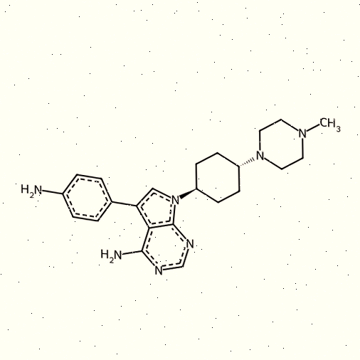 CN1CCN([C@H]2CC[C@H](n3cc(-c4ccc(N)cc4)c4c(N)ncnc43)CC2)CC1